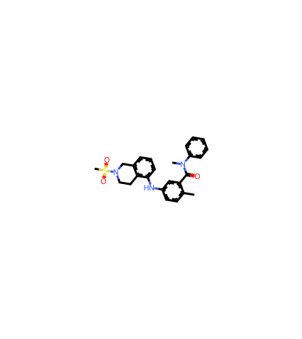 Cc1ccc(Nc2cccc3c2CCN(S(C)(=O)=O)C3)cc1C(=O)N(C)c1ccccc1